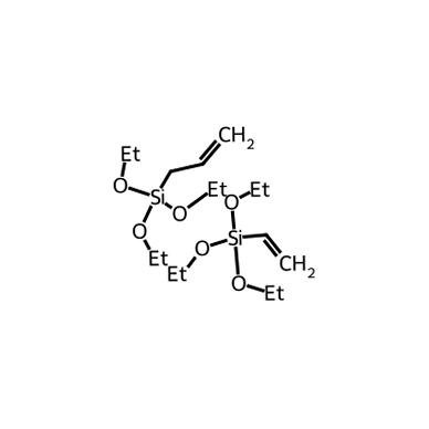 C=CC[Si](OCC)(OCC)OCC.C=C[Si](OCC)(OCC)OCC